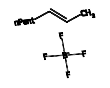 CC=CCCCCC.F[B-](F)(F)F